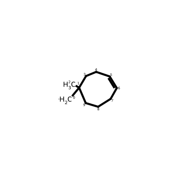 [CH2]C1(C)CCC=CCCC1